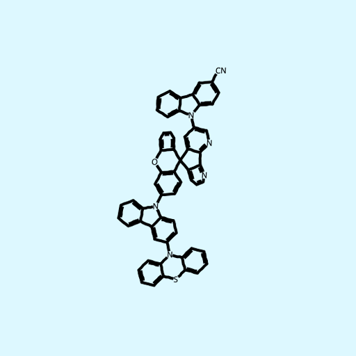 N#Cc1ccc2c(c1)c1ccccc1n2-c1cnc2c(c1)C1(c3ccccc3Oc3cc(-n4c5ccccc5c5cc(N6c7ccccc7Sc7ccccc76)ccc54)ccc31)c1cccnc1-2